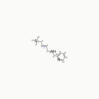 C[Si](C)(C)C/C=C/CNCc1ccccn1